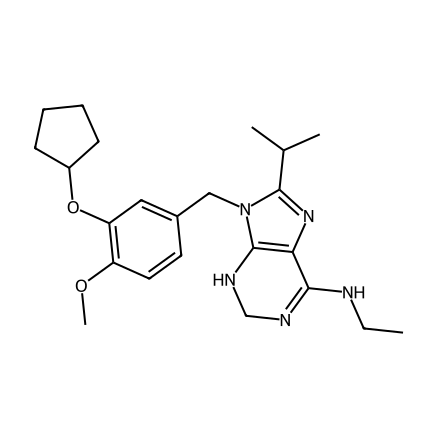 CCNC1=NCNc2c1nc(C(C)C)n2Cc1ccc(OC)c(OC2CCCC2)c1